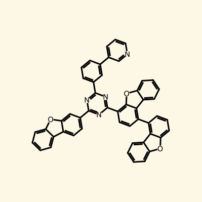 c1cncc(-c2cccc(-c3nc(-c4ccc5c(c4)oc4ccccc45)nc(-c4ccc(-c5cccc6oc7ccccc7c56)c5c4oc4ccccc45)n3)c2)c1